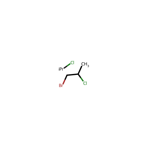 CC(C)Cl.CC(Cl)CBr